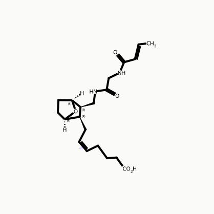 CC=CC(=O)NCC(=O)NC[C@H]1[C@@H](C/C=C\CCCC(=O)O)[C@H]2CC[C@@H]1O2